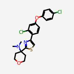 CN(C)C1(c2nc(-c3ccc(Oc4ccc(Cl)cc4)cc3Cl)cs2)CCOCC1